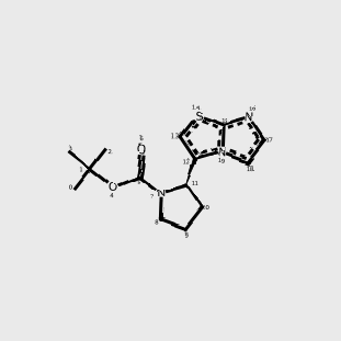 CC(C)(C)OC(=O)N1CCC[C@@H]1c1csc2nccn12